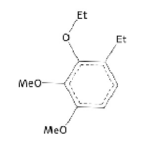 CCOc1c(CC)ccc(OC)c1OC